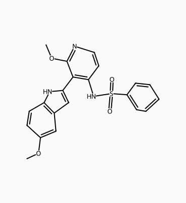 COc1ccc2[nH]c(-c3c(NS(=O)(=O)c4ccccc4)ccnc3OC)cc2c1